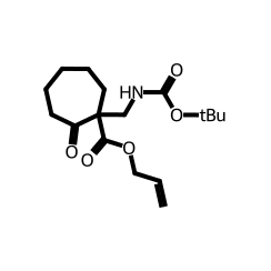 C=CCOC(=O)C1(CNC(=O)OC(C)(C)C)CCCCCC1=O